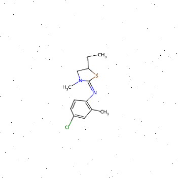 CCC1CN(C)C(=Nc2ccc(Cl)cc2C)S1